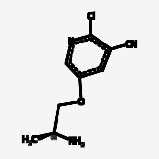 C[C@H](N)COc1cnc(Cl)c(C#N)c1